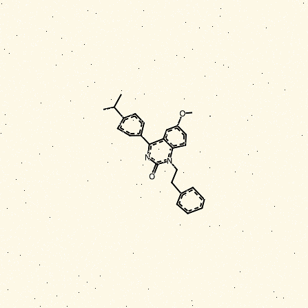 COc1ccc2c(c1)c(-c1ccc(C(C)C)cc1)nc(=O)n2CCc1ccccc1